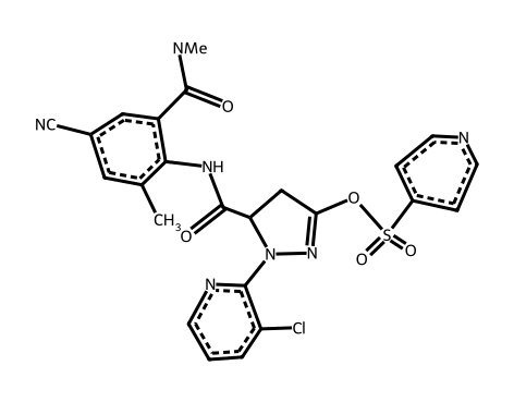 CNC(=O)c1cc(C#N)cc(C)c1NC(=O)C1CC(OS(=O)(=O)c2ccncc2)=NN1c1ncccc1Cl